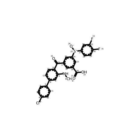 CNc1cc(-c2ccc(Cl)cc2)ccc1C(=O)c1cc(C(=O)O)cc([S+]([O-])c2ccc(F)c(F)c2)c1